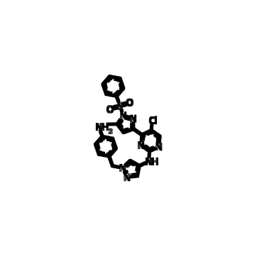 Cc1cc(-c2nc(Nc3cnn(Cc4ccc(N)cc4)c3)ncc2Cl)nn1S(=O)(=O)c1ccccc1